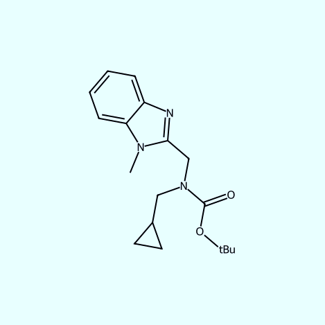 Cn1c(CN(CC2CC2)C(=O)OC(C)(C)C)nc2ccccc21